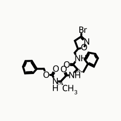 C[C@H](NC(=O)OCc1ccccc1)C(=O)N[C@@H](Cc1ccccc1)C(=O)NCC1CC(Br)=NO1